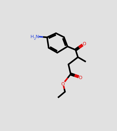 CCOC(=O)CC(C)C(=O)c1ccc(N)cc1